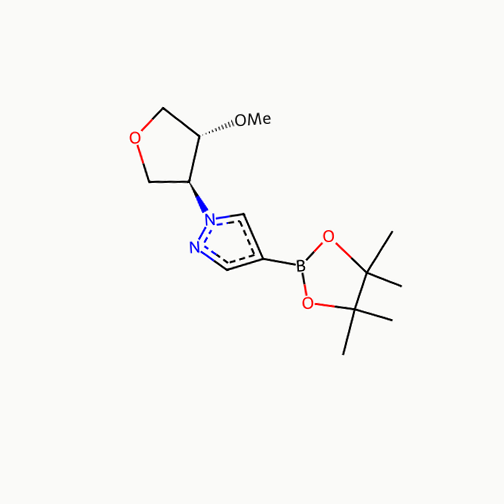 CO[C@H]1COC[C@@H]1n1cc(B2OC(C)(C)C(C)(C)O2)cn1